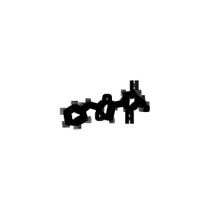 S=c1[nH]cc(C2=COC(Cc3ccccc3)O2)[nH]1